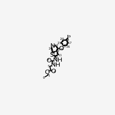 CCOC(=O)CNC(=O)Nc1cc2c(Oc3ccc(I)cc3)cncc2s1